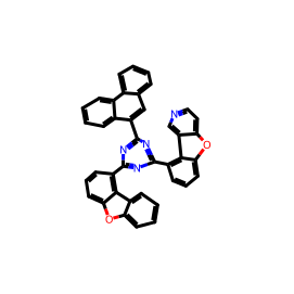 c1ccc2c(c1)cc(-c1nc(-c3cccc4oc5ccccc5c34)nc(-c3cccc4oc5ccncc5c34)n1)c1ccccc12